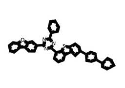 c1ccc(-c2ccc(-c3ccc4sc5c(-c6nc(-c7ccccc7)nc(-c7ccc8c(c7)oc7ccccc78)n6)cccc5c4c3)cc2)cc1